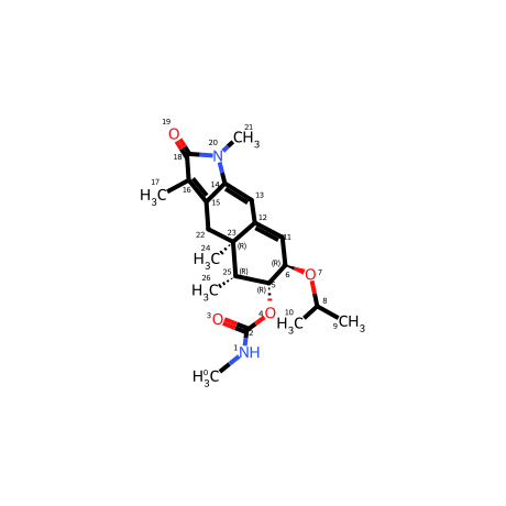 CNC(=O)O[C@H]1[C@H](OC(C)C)C=C2C=C3C(=C(C)C(=O)N3C)C[C@]2(C)[C@H]1C